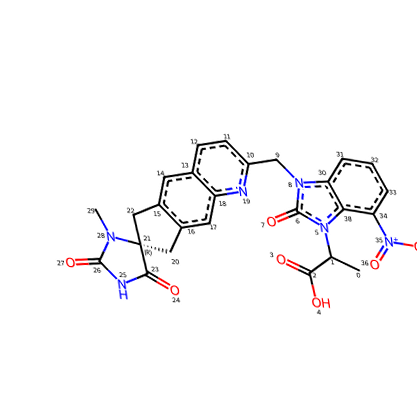 CC(C(=O)O)n1c(=O)n(Cc2ccc3cc4c(cc3n2)C[C@]2(C4)C(=O)NC(=O)N2C)c2cccc([N+](=O)[O-])c21